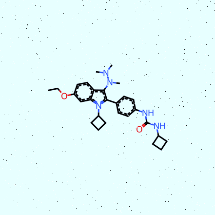 CCOc1ccc2c(N(C)N(C)C)c(-c3ccc(NC(=O)NC4CCC4)cc3)n(C3CCC3)c2c1